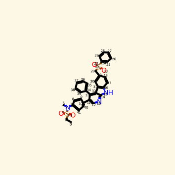 CCS(=O)(=O)N(C)c1ccc(-c2cnc3[nH]c4ccc(CS(=O)(=O)c5ccccc5)cc4c3c2-c2ccccc2)cc1